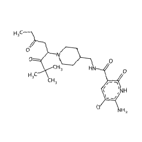 CCC(=O)CC(C(=O)C(C)(C)C)N1CCC(CNC(=O)c2cc(Cl)c(N)[nH]c2=O)CC1